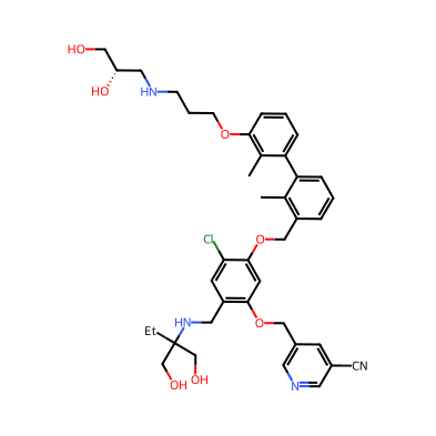 CCC(CO)(CO)NCc1cc(Cl)c(OCc2cccc(-c3cccc(OCCCNC[C@H](O)CO)c3C)c2C)cc1OCc1cncc(C#N)c1